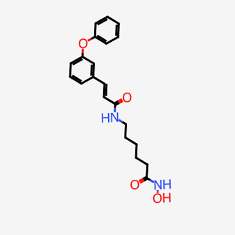 O=C(C=Cc1cccc(Oc2ccccc2)c1)NCCCCCC(=O)NO